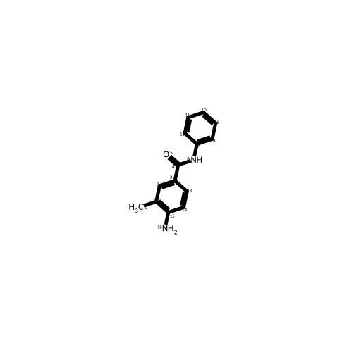 Cc1cc(C(=O)Nc2ccccc2)ccc1N